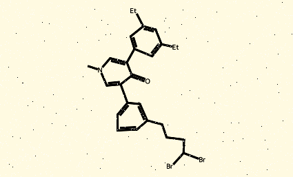 CCc1cc(CC)cc(-c2cn(C)cc(-c3cccc(CCCC(Br)Br)c3)c2=O)c1